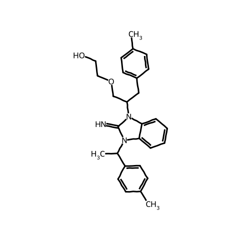 Cc1ccc(CC(COCCO)n2c(=N)n(C(C)c3ccc(C)cc3)c3ccccc32)cc1